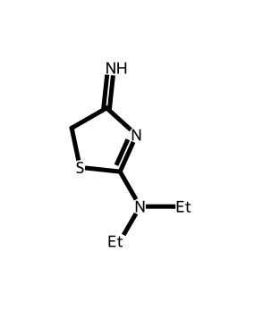 CCN(CC)C1=NC(=N)CS1